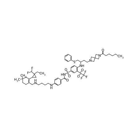 CCCCCC(=O)N1CC2(CN(CCC(CSc3ccccc3)Nc3ccc(S(=O)(=O)NC(=O)c4ccc(NCCCCNCC5=C(C6CC6(CC)C(F)F)CC(C)(C)CC5)cc4)cc3S(=O)(=O)C(F)(F)F)C2)C1